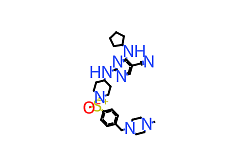 CN1CCN(Cc2ccc([S+]([O-])N3CCC(Nc4ncc(C#N)c(NC5CCCC5)n4)CC3)cc2)CC1